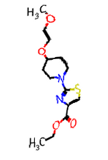 CCOC(=O)c1csc(N2CCC(OCCOC)CC2)n1